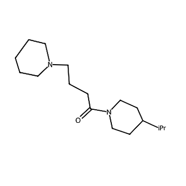 CC(C)C1CCN(C(=O)CCCN2CCCCC2)CC1